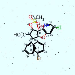 CS(=O)(=O)O[C@@H]1[C@H](C(=O)O)[C@@H](c2ccccc2)[C@]2(c3ccc(Br)cc3)Oc3cc(Cl)cnc3[C@]12O